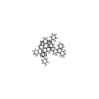 c1ccc(-c2nc(-c3ccccc3)nc(-c3cc(-c4ccc(-c5ccccc5)c(-c5ccccc5)c4)ccc3-c3cccc4sc5ccc6c(c7ccccc7n6-c6ccccc6)c5c34)n2)cc1